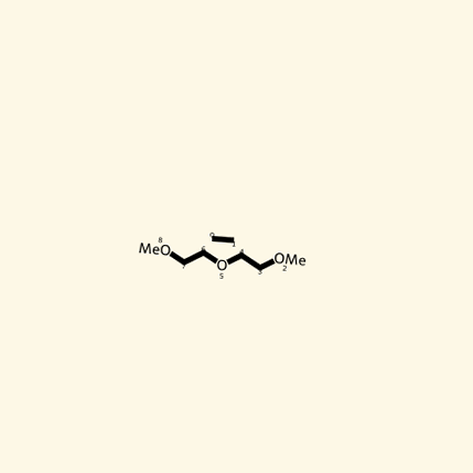 CC.COCCOCCOC